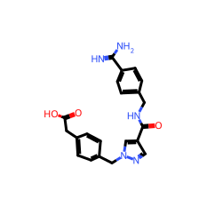 N=C(N)c1ccc(CNC(=O)c2cnn(Cc3ccc(CC(=O)O)cc3)c2)cc1